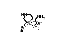 C1CNCCN1.NCCN.[Br-].[Br-].[Br-].[Cr+3]